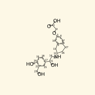 O=C(O)COc1ccc2c(c1)CC(NCC(O)c1ccc(O)c(CO)c1)CC2